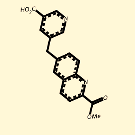 COC(=O)c1ccc2cc(Cc3cncc(C(=O)O)c3)ccc2n1